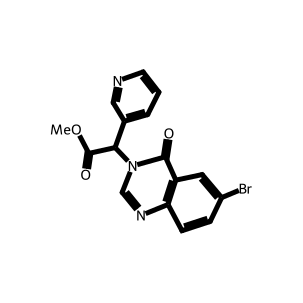 COC(=O)C(c1cccnc1)n1cnc2ccc(Br)cc2c1=O